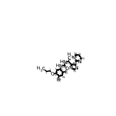 CCCOc1cc(NC(=O)N[C@@H](C)c2ncnn2-c2ncccn2)c(F)cc1Br